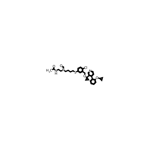 CC(=O)NCCN(C=O)CCCCSc1ccc(Cl)c(COC2(c3cnccc3-c3ccccc3OC3CC3)CC2)c1